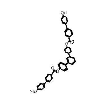 O=C(Oc1ccc(-c2cccc(-c3ccc(OC(=O)c4ccc(-c5ccc(O)cc5)cc4)cc3)c2)cc1)c1ccc(-c2ccc(O)cc2)cc1